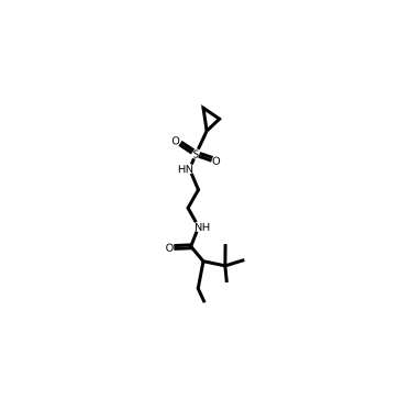 CCC(C(=O)NCCNS(=O)(=O)C1CC1)C(C)(C)C